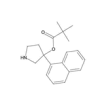 CC(C)(C)C(=O)OC1(c2cccc3ccccc23)CCNC1